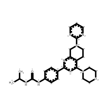 CC(C)NC(=O)Nc1ccc(-c2nc3c(c(N4CCOCC4)n2)CCN(c2ncccn2)C3)cc1